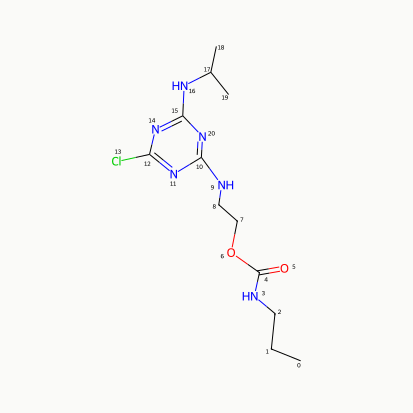 CCCNC(=O)OCCNc1nc(Cl)nc(NC(C)C)n1